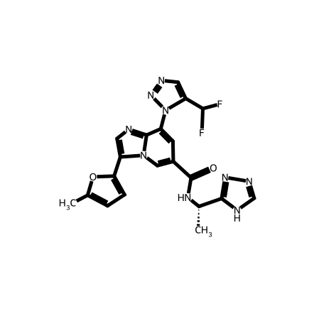 Cc1ccc(-c2cnc3c(-n4nncc4C(F)F)cc(C(=O)N[C@@H](C)c4nnc[nH]4)cn23)o1